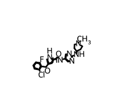 CN1CCC(Nc2ncc(NC(=O)c3cc(C(=O)c4c(F)cccc4Cl)c[nH]3)cn2)CC1